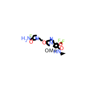 COc1cc(-c2cnc3cc(OCCCN4CCC(F)(C(N)=O)CC4)ccn23)cc(OC(F)F)c1C(=O)NC1CC1